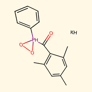 Cc1cc(C)c(C(=O)[PH]2(c3ccccc3)OO2)c(C)c1.[KH]